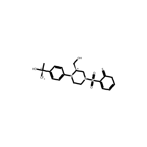 C[C@@](O)(c1ccc(N2CCN(S(=O)(=O)C3=CC=CCC3=S)C[C@@H]2CO)cc1)C(F)(F)F